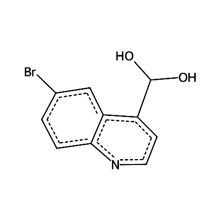 OC(O)c1ccnc2ccc(Br)cc12